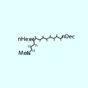 CCCCCCCCCCCCCCCCCCC(CCCCCC)CCCNC